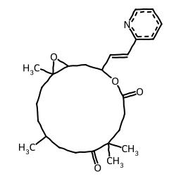 CC1CCCC2(C)OC2CC(C=Cc2ccccn2)OC(=O)CCC(C)(C)C(=O)CC1